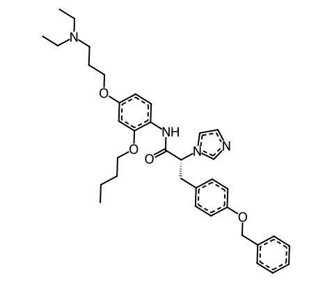 CCCCOc1cc(OCCCN(CC)CC)ccc1NC(=O)[C@@H](Cc1ccc(OCc2ccccc2)cc1)n1ccnc1